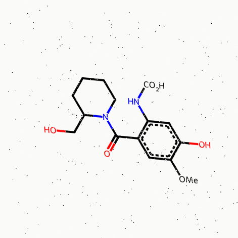 COc1cc(C(=O)N2CCCCC2CO)c(NC(=O)O)cc1O